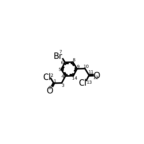 O=C(Cl)Cc1cc(Br)cc(CC(=O)Cl)c1